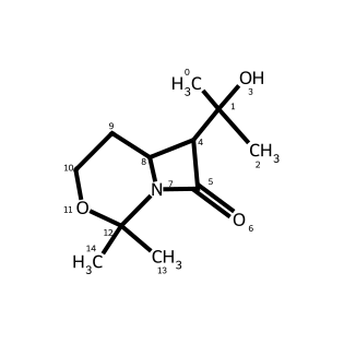 CC(C)(O)C1C(=O)N2C1CCOC2(C)C